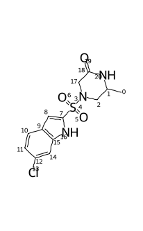 CC1CN(S(=O)(=O)c2cc3ccc(Cl)cc3[nH]2)CC(=O)N1